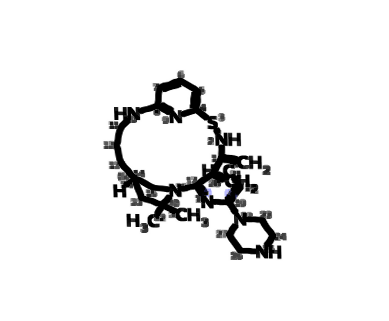 C=C1NSc2cccc(n2)NCCC[C@@H]2CN(/C(=N/C(=C\C)N3CCNCC3)C1=C)C(C)(C)C2